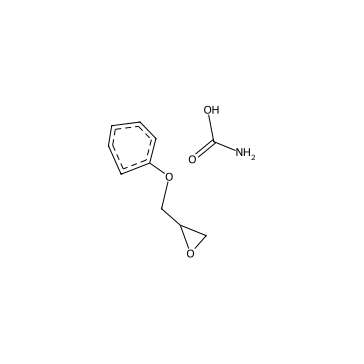 NC(=O)O.c1ccc(OCC2CO2)cc1